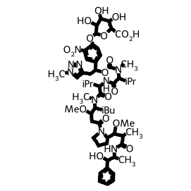 CCC(C)C(C(CC(=O)N1CCCC1C(OC)C(C)C(=O)NC(C)C(O)c1ccccc1)OC)N(C)C(=O)C(NC(=O)C(C(C)C)N(C)C(=O)OC(Cc1cn(C)nn1)c1ccc(OC2OC(C(=O)O)C(O)C(O)C2O)c([N+](=O)[O-])c1)C(C)C